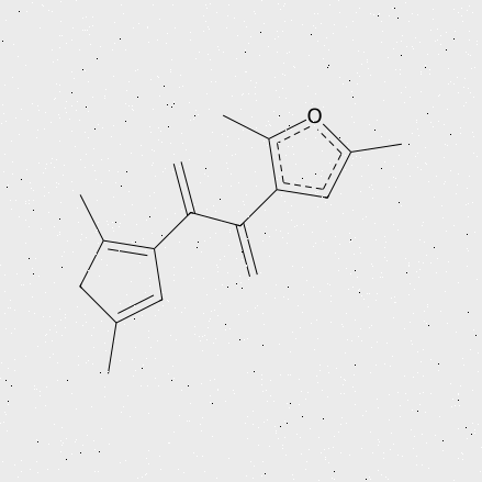 C=C(C(=C)c1cc(C)oc1C)C1=C(C)CC(C)=C1